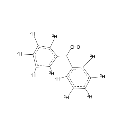 [2H]c1c([2H])c([2H])c(C(C=O)c2c([2H])c([2H])c([2H])c([2H])c2[2H])c([2H])c1[2H]